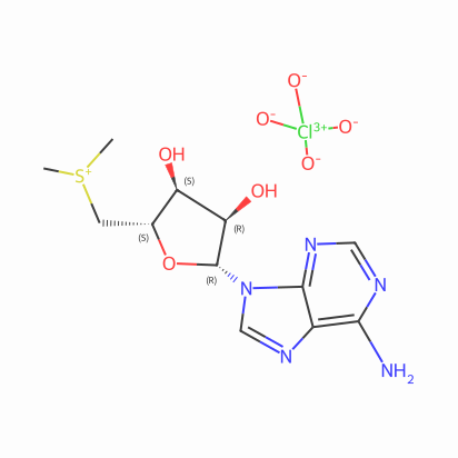 C[S+](C)C[C@H]1O[C@@H](n2cnc3c(N)ncnc32)[C@H](O)[C@@H]1O.[O-][Cl+3]([O-])([O-])[O-]